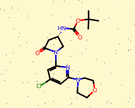 CC(C)(C)OC(=O)N[C@H]1CC(=O)N(c2cc(Cl)cc(N3CCOCC3)n2)C1